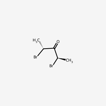 C[C@@H](Br)C(=O)[C@@H](C)Br